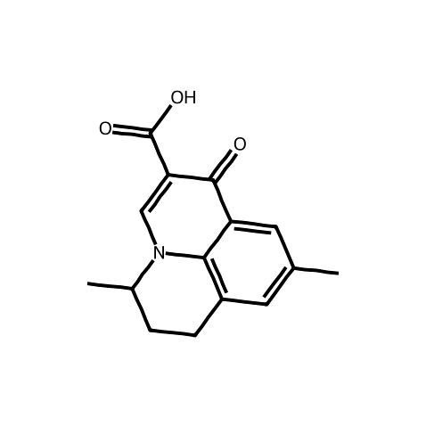 Cc1cc2c3c(c1)c(=O)c(C(=O)O)cn3C(C)CC2